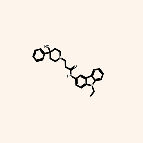 CCn1c2ccccc2c2cc(NC(=O)CCN3CCC(O)(c4ccccc4)CC3)ccc21